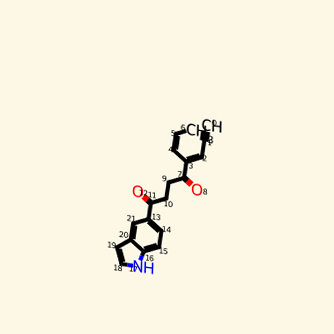 C#C/C=C(\C=C/C)C(=O)CCC(=O)c1ccc2[nH]ccc2c1